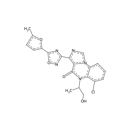 Cc1ccc(-c2nc(-c3ncn4c3c(=O)n(C(C)CO)c3c(Cl)cccc34)no2)o1